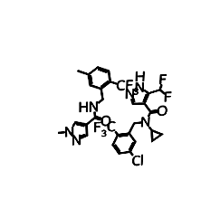 Cc1ccc(C(F)(F)F)c(CNC(=O)c2cnn(C)c2)c1.O=C(c1cn[nH]c1C(F)F)N(Cc1cc(Cl)ccc1C(F)(F)F)C1CC1